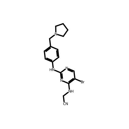 N#CCNc1nc(Nc2ccc(CN3CCCC3)cc2)ncc1Br